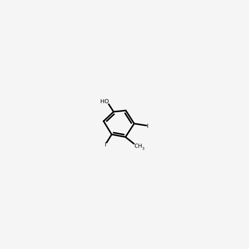 Cc1c(I)cc(O)cc1I